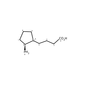 O=C(O)CCCN1CCC[C@@H]1P